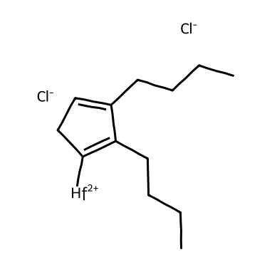 CCCCC1=CC[C]([Hf+2])=C1CCCC.[Cl-].[Cl-]